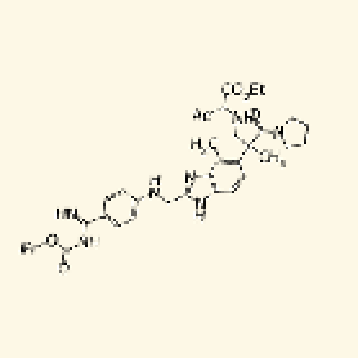 CCOC(=O)C(NCC(C)(C(=O)N1CCCC1)c1ccc2[nH]c(CNc3ccc(C(=N)NC(=O)OC(C)C)cc3)nc2c1C)C(C)=O